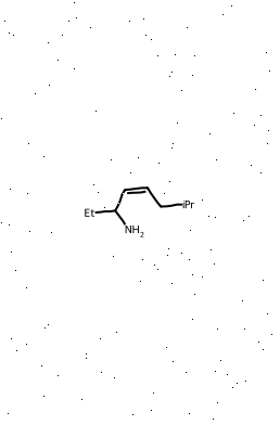 CCC(N)/C=C\CC(C)C